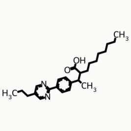 CCCCCCCCC(C(=O)O)C(C)c1ccc(-c2ncc(CCC)cn2)cc1